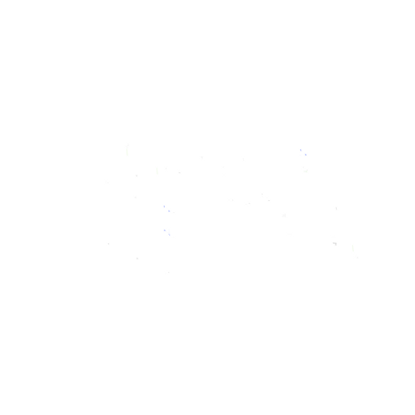 N#CC(=Cc1ccc(-n2nc(C(F)(F)F)cc2C(F)(F)F)cc1)C(=O)c1ccc(F)cc1F